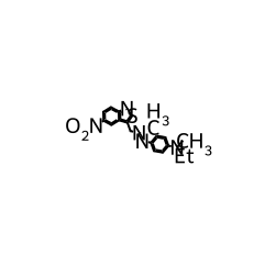 CCN(C)c1ccc(N=NCc2snc3ccc([N+](=O)[O-])cc23)c(C)c1